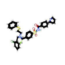 O=C(NS(=O)(=O)c1ccc(CN(CCSc2ccccc2)Cc2c(F)cccc2Cl)cc1)c1ccc(-c2ccccn2)cc1